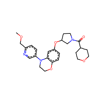 COCc1ccc(N2CCOc3ccc(OC4CCN(C(=O)C5CCOCC5)C4)cc32)cn1